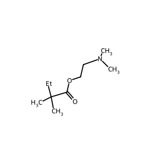 CCC(C)(C)C(=O)OCCN(C)C